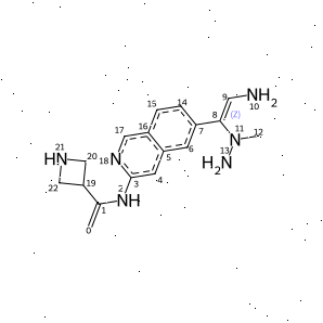 C=C(Nc1cc2cc(/C(=C/N)N(C)N)ccc2cn1)C1CNC1